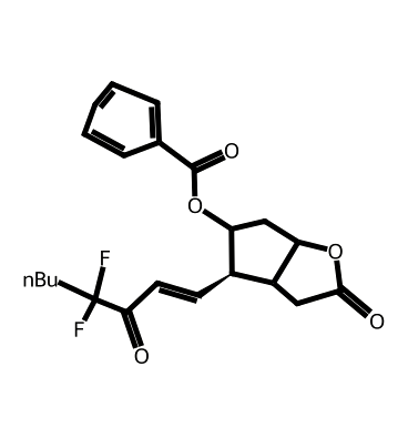 CCCCC(F)(F)C(=O)/C=C/[C@H]1C(OC(=O)c2ccccc2)CC2OC(=O)CC21